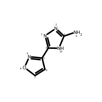 Nc1nnc(-c2ccon2)[nH]1